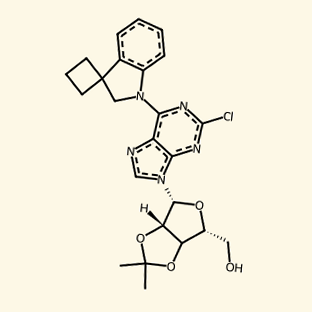 CC1(C)OC2[C@@H](CO)O[C@@H](n3cnc4c(N5CC6(CCC6)c6ccccc65)nc(Cl)nc43)[C@H]2O1